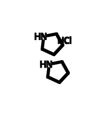 C1CCNC1.C1CCNC1.Cl